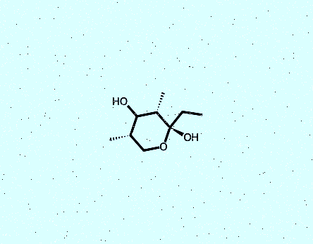 CC[C@]1(O)OC[C@H](C)C(O)[C@@H]1C